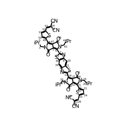 CC(C)CN1C(=O)C2=C(c3nc4cc5sc(C6=C7C(=O)N(CC(C)C)C(c8ccc(C=C(C#N)C#N)s8)=C7C(=O)N6CC(C)C)nc5cc4s3)N(CC(C)C)C(=O)C2=C1c1ccc(C=C(C#N)C#N)s1